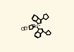 C1=C(C2CCCC2)c2ccccc2[CH]1[Zr+2](=[C]1CCCC1)[CH]1C=C(C2CCCC2)c2ccccc21.[Cl-].[Cl-]